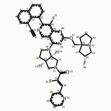 C#Cc1cccc2cccc(-c3ncc4c(N5CC[C@@H]6CN(C(=O)/C(F)=C/c7ccccn7)C[C@@H]65)nc(OC[C@@]56CCCN5C[C@H](F)C6)nc4c3F)c12